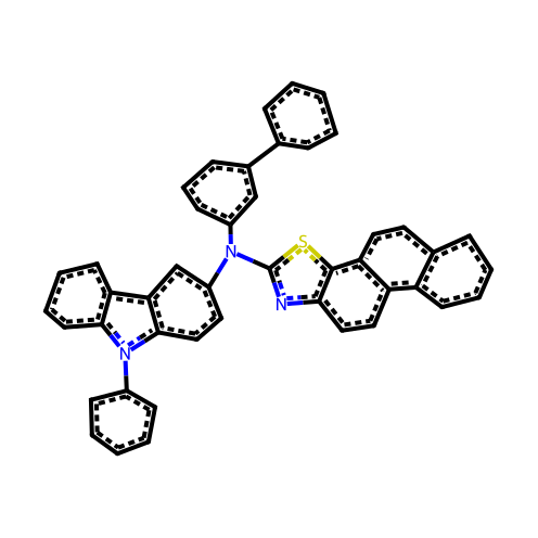 c1ccc(-c2cccc(N(c3ccc4c(c3)c3ccccc3n4-c3ccccc3)c3nc4ccc5c6ccccc6ccc5c4s3)c2)cc1